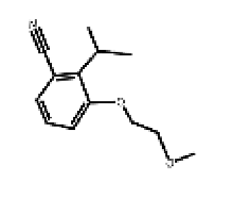 COCCOc1cccc(C#N)c1C(C)C